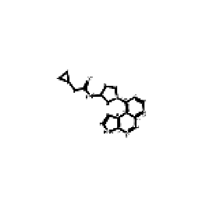 O=C(CC1CC1)NC1CCN(c2ccnc3cnc4[nH]ccc4c23)C1